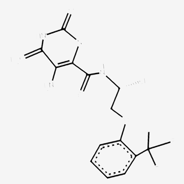 C=C1NC(=O)NC(C(=O)N[C@H](C)COc2ccccc2C(F)(F)F)=C1N